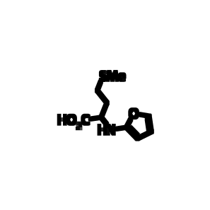 CSCCC(Nc1ccco1)C(=O)O